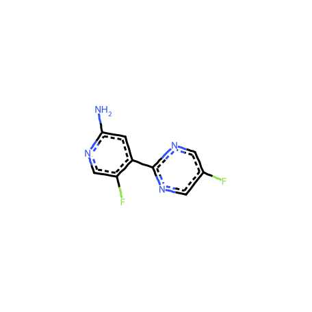 Nc1cc(-c2ncc(F)cn2)c(F)cn1